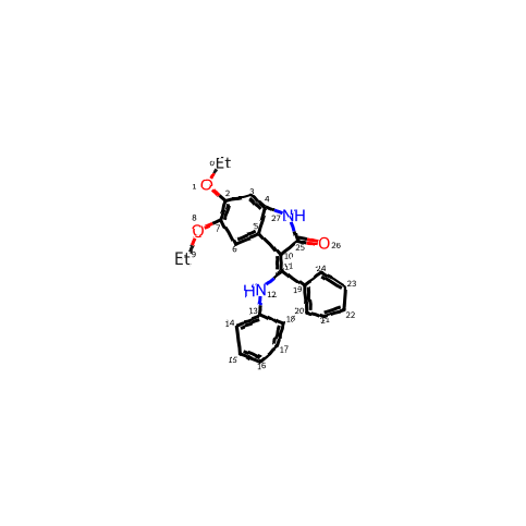 CCOc1cc2c(cc1OCC)C(=C(Nc1ccccc1)c1ccccc1)C(=O)N2